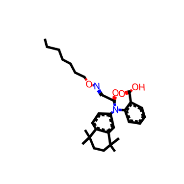 CCCCCCCON=CC(=O)N(c1ccc2c(c1)C(C)(C)CCC2(C)C)c1ccccc1C(=O)O